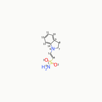 NS(=O)(=O)C=CN1CCc2ccccc21